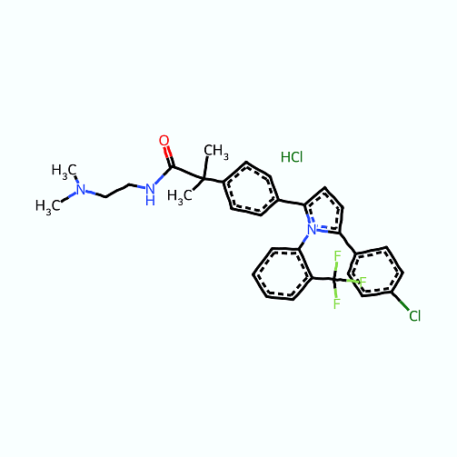 CN(C)CCNC(=O)C(C)(C)c1ccc(-c2ccc(-c3ccc(Cl)cc3)n2-c2ccccc2C(F)(F)F)cc1.Cl